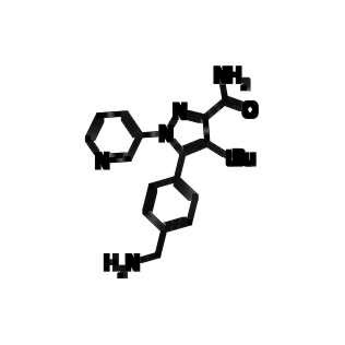 CC(C)(C)c1c(C(N)=O)nn(-c2cccnc2)c1-c1ccc(CN)cc1